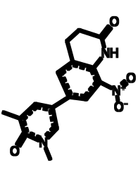 Cc1cc(-c2cc3c(c([N+](=O)[O-])c2)NC(=O)CC3)cn(C)c1=O